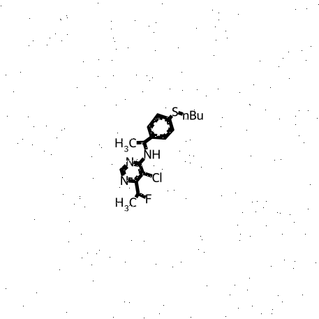 CCCCSc1ccc(C(C)Nc2ncnc(C(C)F)c2Cl)cc1